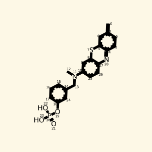 C=c1ccc2c(c1)Sc1cc(N(C)Cc3cccc(OP(=O)(O)O)c3)ccc1N=2